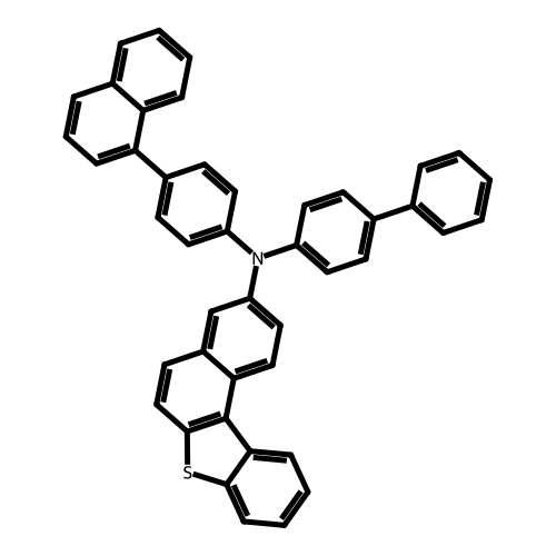 c1ccc(-c2ccc(N(c3ccc(-c4cccc5ccccc45)cc3)c3ccc4c(ccc5sc6ccccc6c54)c3)cc2)cc1